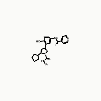 CC(C)NC(=O)n1nc(-c2cc(NC(=O)c3ccncc3)ccc2O)cc1C1CCCC1